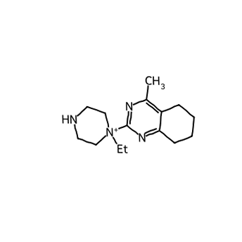 CC[N+]1(c2nc(C)c3c(n2)CCCC3)CCNCC1